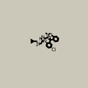 CN(C)Cc1nnc(CN(C)CC2CC2)n1-c1ccc(Cl)cc1C(=O)c1ccccc1Cl